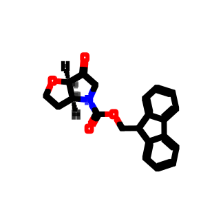 O=C1CN(C(=O)OCC2c3ccccc3-c3ccccc32)[C@H]2CCO[C@@H]12